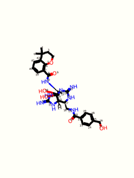 CC1(C)CCOc2c(C(=O)N[C@H]3CN4C(=N)N[C@@H](CNC(=O)c5ccc(CO)cc5)[C@@H]5NC(=N)N[C@@]54C3(O)O)cccc21